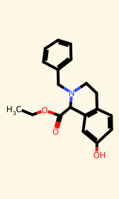 CCOC(=O)C1c2cc(O)ccc2CCN1Cc1ccccc1